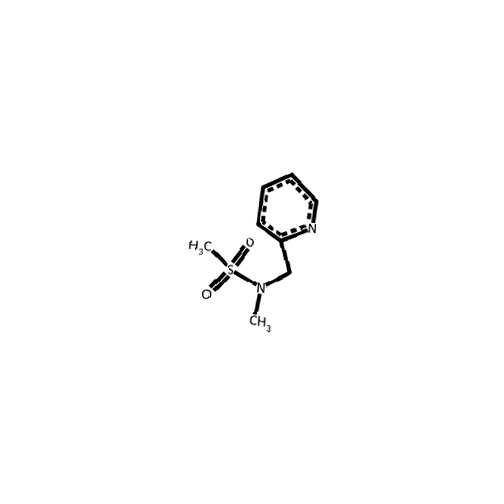 CN(Cc1ccccn1)S(C)(=O)=O